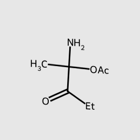 CCC(=O)C(C)(N)OC(C)=O